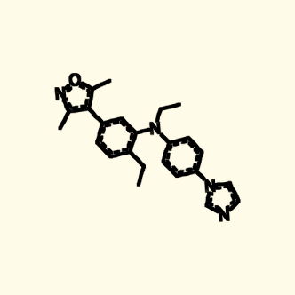 CCc1ccc(-c2c(C)noc2C)cc1N(CC)c1ccc(-n2ccnc2)cc1